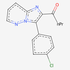 CCCC(=O)c1nc2cccnn2c1-c1ccc(Cl)cc1